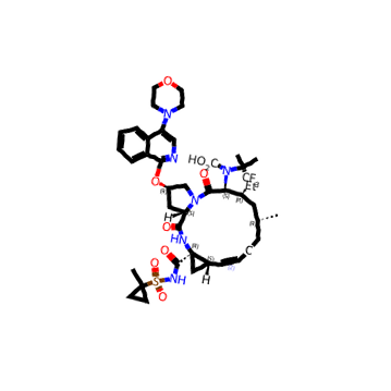 CC[C@@H]1C[C@H](C)CC/C=C\[C@@H]2C[C@@]2(C(=O)NS(=O)(=O)C2(C)CC2)NC(=O)[C@@H]2C[C@@H](Oc3ncc(N4CCOCC4)c4ccccc34)CN2C(=O)[C@H]1N(C(=O)O)C(C)(C)C(F)(F)F